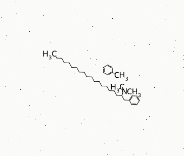 CCCCCCCCCCCCCCCCCCC(Cc1ccccc1)N(C)C.Cc1ccccc1